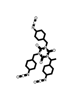 CC(C1CCC(N=C=O)CC1)n1c(=O)n(CC2CCC(N=C=O)CC2)c(=O)n(CC2CCC(N=C=O)CC2)c1=O